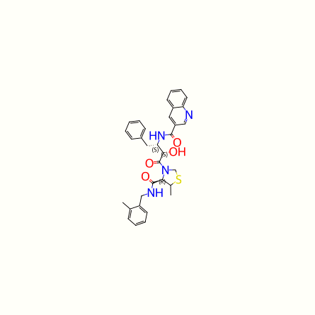 Cc1ccccc1CNC(=O)[C@@H]1C(C)SCN1C(=O)[C@@H](O)[C@H](Cc1ccccc1)NC(=O)c1cnc2ccccc2c1